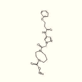 CC(C)(C)OC(=O)N1CCCN(C(=O)Cn2cc(NC(=O)CCOc3ccccc3)cn2)CC1